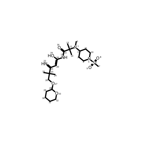 CN(C1CCN(S(C)(=O)=O)CC1)C(C)(C)C(=O)N/C(O)=C/C(=N)C(C)(C)COC1CCCCO1